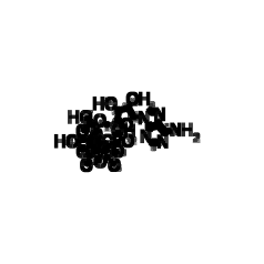 Nc1ncnc2c1ncn2[C@@H]1O[C@H](COP(=O)(O)OP(=O)(O)OP(=O)(O)OP(=O)(O)OP(=O)(O)O)C(O)C1O